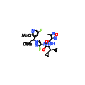 COCC(c1cc(F)cnc1OC)n1cc(NC(=O)C(NC(=O)c2nonc2C)C(C2CC2)C2CC2)c(F)n1